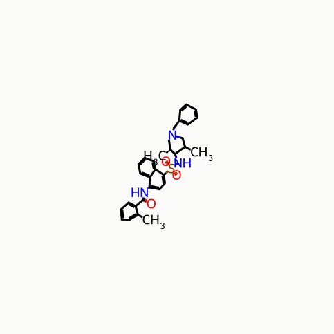 Cc1ccccc1C(=O)Nc1ccc(S(=O)(=O)NC2C(C)CN(Cc3ccccc3)C[C@@H]2C)c2ccccc12